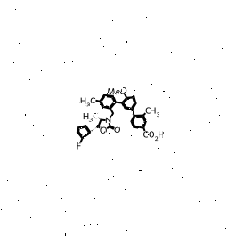 COc1ccc(-c2ccc(C(=O)O)cc2C)cc1-c1ccc(C)cc1CN1C(=O)O[C@H](c2cccc(F)c2)[C@@H]1C